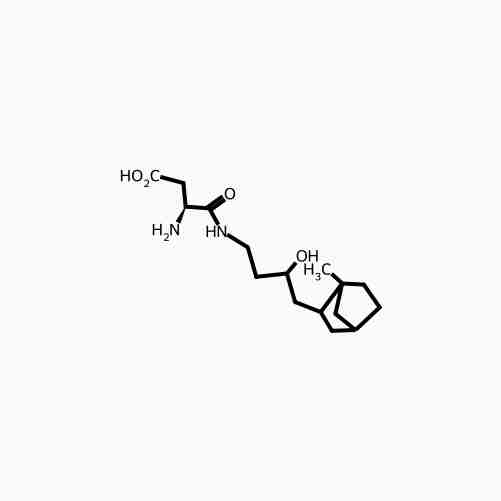 CC12CCC(CC1CC(O)CCNC(=O)[C@@H](N)CC(=O)O)C2